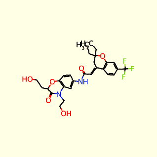 CCC1(CC)C/C(=C\C(=O)Nc2ccc3c(c2)N(CCO)C(=O)C(CCO)O3)c2ccc(C(F)(F)F)cc2O1